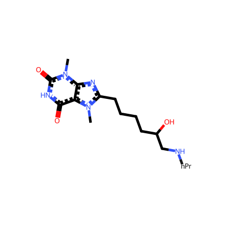 CCCNCC(O)CCCCc1nc2c(c(=O)[nH]c(=O)n2C)n1C